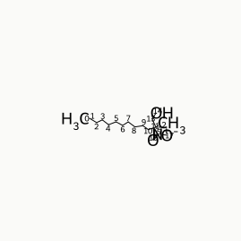 CCCCCCCCCCCC(C)(CO)[N+](=O)[O-]